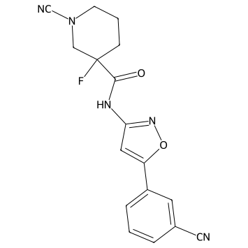 N#Cc1cccc(-c2cc(NC(=O)C3(F)CCCN(C#N)C3)no2)c1